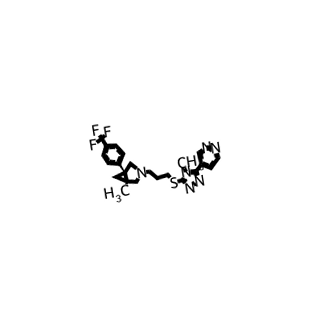 Cn1c(SCCCN2C[C@]3(C)C[C@]3(c3ccc(C(F)(F)F)cc3)C2)nnc1-c1ccnnc1